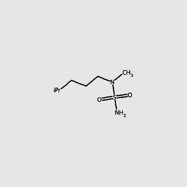 CC(C)CCCN(C)S(N)(=O)=O